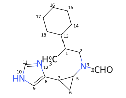 CC(CN(C=O)C1CC1c1c[nH]cn1)C1CCCCC1